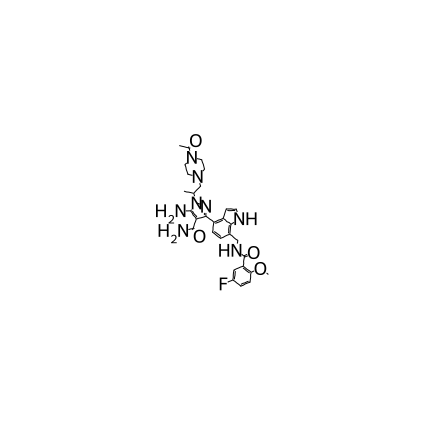 COc1ccc(F)cc1C(=O)NCc1ccc(-c2nn(C(C)CN3CCN(C(C)=O)CC3)c(N)c2C(N)=O)c2cc[nH]c12